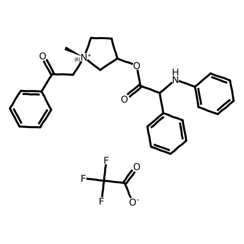 C[N@@+]1(CC(=O)c2ccccc2)CCC(OC(=O)C(Nc2ccccc2)c2ccccc2)C1.O=C([O-])C(F)(F)F